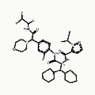 CC(C)n1nccc1C(=O)N[C@H](C(=O)Nc1ccc(C(C(=O)NC(F)C(F)F)N2CCOCC2)cc1F)C(C1CCCCC1)C1CCCCC1